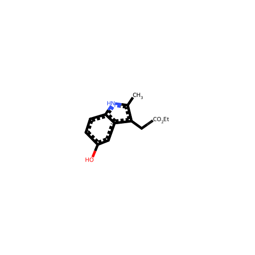 CCOC(=O)Cc1c(C)[nH]c2ccc(O)cc12